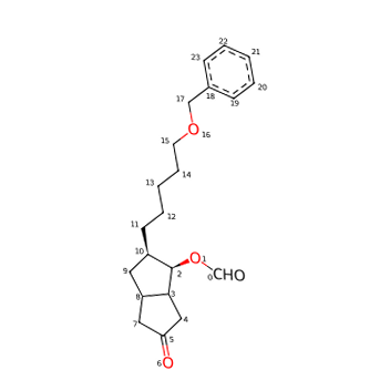 O=CO[C@H]1C2CC(=O)CC2C[C@H]1CCCCCOCc1ccccc1